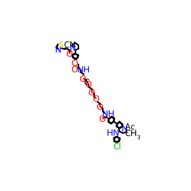 CC(=O)N1c2ccc(-c3ccc(C(=O)NCCOCCOCCOCCOCCOCCNC(=O)COc4ccc(C5CCCCN5C(=O)/C(C#N)=C/c5nccs5)cc4)cc3)cc2[C@H](Nc2ccc(Cl)cc2)C[C@@H]1C